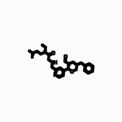 CCN(CCN(C)C)C(=O)CNCc1cc(C2OCC(Cc3ccccc3)CN2C=O)ccn1